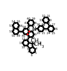 CC1(C)c2ccccc2-c2cccc(-c3ccc(N(c4ccc(-c5ccccc5-c5ccccc5)cc4)c4ccccc4-c4cccc(-c5cccc6ccccc56)c4)cc3)c21